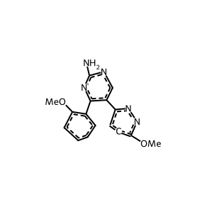 COc1ccc(-c2cnc(N)nc2-c2ccccc2OC)nn1